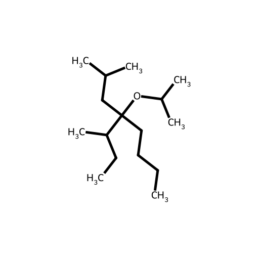 CCCCC(CC(C)C)(OC(C)C)C(C)CC